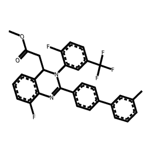 COC(=O)CC1c2cccc(F)c2N=C(c2ccc(-c3cccc(C)c3)cc2)N1c1cc(C(F)(F)F)ccc1F